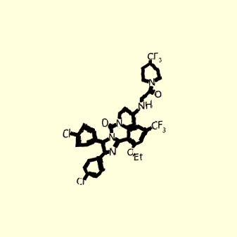 CCOc1cc(C(F)(F)F)ccc1C1=NC(c2ccc(Cl)cc2)C(c2ccc(Cl)cc2)N1C(=O)N1CCC(NCC(=O)N2CCC(C(F)(F)F)CC2)CC1